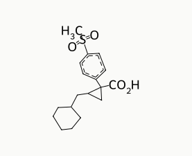 CS(=O)(=O)c1ccc(C2(C(=O)O)CC2CC2CCCCC2)cc1